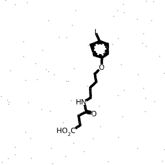 O=C(O)CCC(=O)NCCCCOc1ccc(I)cc1